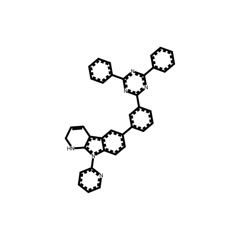 C1=Cc2c(n(-c3ccccn3)c3ccc(-c4cccc(-c5nc(-c6ccccc6)nc(-c6ccccc6)n5)c4)cc23)NC1